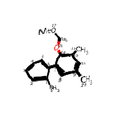 Bc1ccccc1-c1cc(C)cc(C)c1OCOC